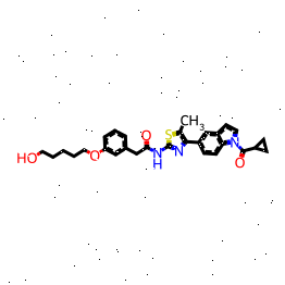 Cc1sc(NC(=O)Cc2cccc(OCCCCCO)c2)nc1-c1ccc2c(ccn2C(=O)C2CC2)c1